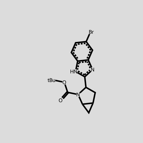 CC(C)(C)OC(=O)N1C(c2nc3cc(Br)ccc3[nH]2)CC2CC21